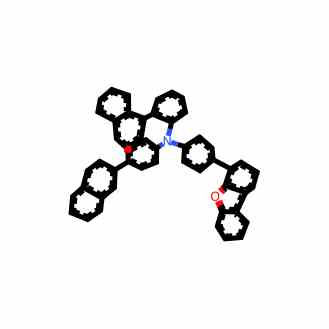 c1ccc(N(c2ccc(-c3ccc4ccccc4c3)cc2)c2ccc(-c3cccc4c3oc3ccccc34)cc2)c(-c2cccc3ccccc23)c1